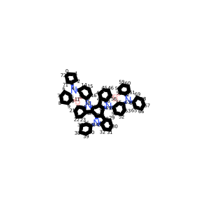 c1ccc(N2c3ccccc3B3c4c2cccc4-n2c4c3cccc4c3c4c(c5ccccc5n4-c4ccccc4)c4c(c5cccc6c5n4-c4cccc5c4B6c4ccccc4N5c4ccccc4)c32)cc1